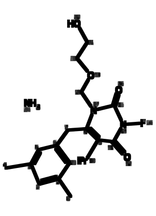 Cc1cc(C)cc(Cc2c(C(C)C)c(=O)n(F)c(=O)n2COCCO)c1.N